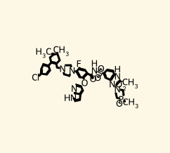 C[C@@H](CN1CCP(C)(=O)CC1)Nc1ccc(S(=O)(=O)NC(=O)c2cc(F)c(N3CCN(CC4=C(c5ccc(Cl)cc5)CC(C)(C)CC4)CC3)cc2Oc2cnc3[nH]ccc3c2)cc1[N+](=O)[O-]